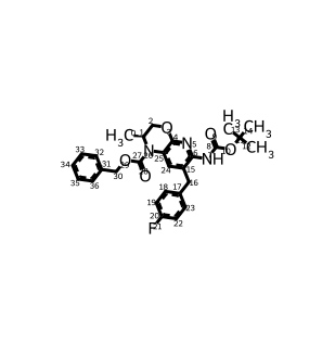 C[C@H]1COc2nc(NC(=O)OC(C)(C)C)c(Cc3ccc(F)cc3)cc2N1C(=O)OCc1ccccc1